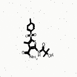 Cc1ccc(S(=O)(=O)c2sc(NC(=O)C(C)(C)O)c(C(N)=O)c2C)cc1